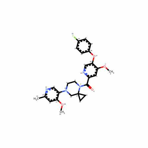 COc1cc(C(=O)N2CCN(c3cnc(C)cc3OC)CC23CC3)ncc1Oc1ccc(F)cc1